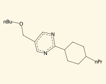 CCCCOCc1cnc(C2CCC(CCC)CC2)nc1